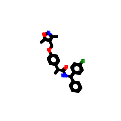 Cc1noc(C)c1COc1ccc(C(C)C(=O)NC(c2ccccc2)c2ccc(Cl)cc2)cc1